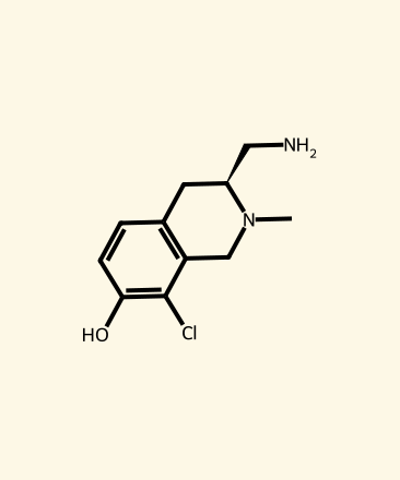 CN1Cc2c(ccc(O)c2Cl)C[C@H]1CN